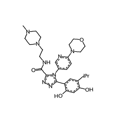 CC(C)c1cc(-c2nnc(C(=O)NCCN3CCN(C)CC3)n2-c2ccc(N3CCOCC3)nc2)c(O)cc1O